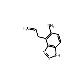 C=CCc1c(N)ccc2[nH]nnc12